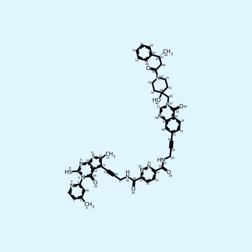 Cc1ccnc(-n2c(S)nc3sc(C)c(C#CCNC(=O)c4ccc(C(=O)NCC#Cc5ccc6c(=O)n(CC7(O)CCN(C(=O)C[C@@H](C)c8ccccc8)CC7)cnc6c5)nn4)c3c2=O)c1